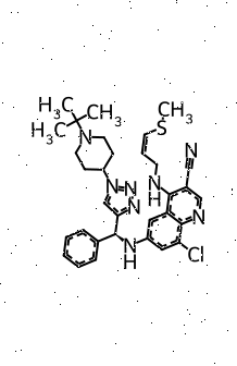 CS/C=C\CNc1c(C#N)cnc2c(Cl)cc(N[C@@H](c3ccccc3)c3cn(C4CCN(C(C)(C)C)CC4)nn3)cc12